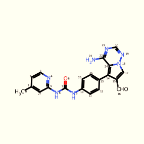 Cc1ccnc(NC(=O)Nc2ccc(-c3c(C=O)cn4ncnc(N)c34)cc2)c1